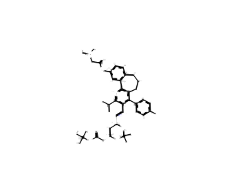 CC(C)c1nc2c(c(-c3ccc(F)cc3)c1/C=C/[C@@H]1C[C@H](CC(=O)OC(C)(C)C)OC(C)(C)O1)CCCc1ccc(NC(=O)CN(C)C)cc1-2